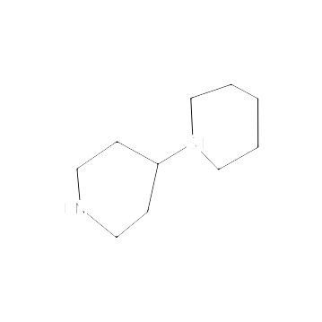 C1CC[SiH](C2CCNCC2)CC1